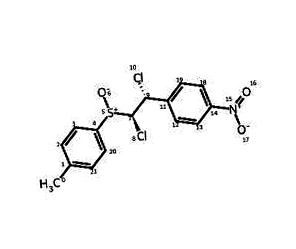 Cc1ccc([S+]([O-])[C@H](Cl)[C@H](Cl)c2ccc([N+](=O)[O-])cc2)cc1